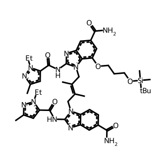 CCn1nc(C)cc1C(=O)Nc1nc2cc(C(N)=O)ccc2n1C/C(C)=C(\C)Cn1c(NC(=O)c2cc(C)nn2CC)nc2cc(C(N)=O)cc(OCCCO[Si](C)(C)C(C)(C)C)c21